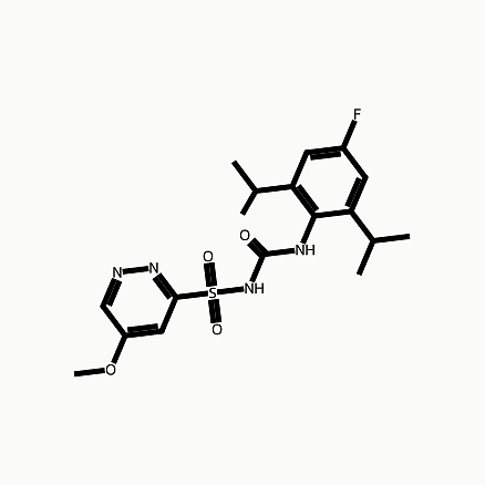 COc1cnnc(S(=O)(=O)NC(=O)Nc2c(C(C)C)cc(F)cc2C(C)C)c1